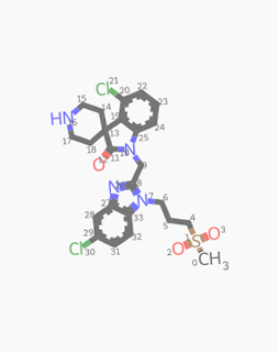 CS(=O)(=O)CCCn1c(CN2C(=O)C3(CCNCC3)c3c(Cl)cccc32)nc2cc(Cl)ccc21